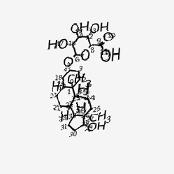 C[C@]12CC[C@@H](OC3O[C@H](C(=O)O)[C@@H](O)[C@H](O)[C@H]3O)C[C@@H]1CC[C@@H]1[C@@H]2CC[C@]2(C)[C@@H](O)CC[C@@H]12